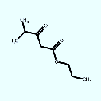 CCCOC(=O)CC(=O)C(C)C